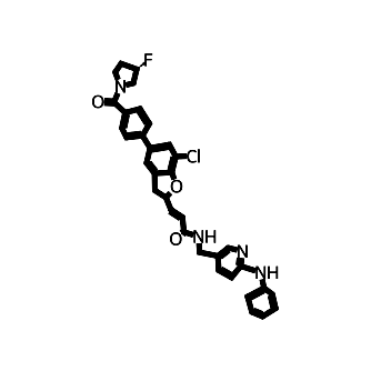 O=C(/C=C/C1Cc2cc(-c3ccc(C(=O)N4CC[C@H](F)C4)cc3)cc(Cl)c2O1)NCc1ccc(Nc2ccccc2)nc1